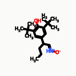 CCCC(C=[NH+][O-])c1cc(C(C)(C)C)c(O)c(C(C)(C)C)c1